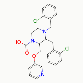 O=C(O)N1CCN(Cc2ccccc2Cl)C(Cc2ccccc2Cl)C1COc1cccnc1